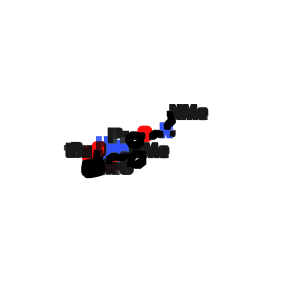 CNCCCN(C)CCCOc1ccc(N/C(=C\C(=N)C(=O)NC2(C(=O)OC(C)(C)C)C3CC4CC(C3)CC2C4)c2c(OC)cccc2OC)c(C(C)C)c1